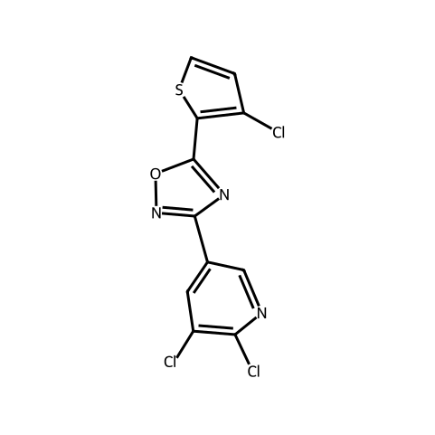 Clc1cc(-c2noc(-c3sccc3Cl)n2)cnc1Cl